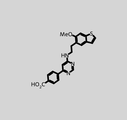 COc1cc2sccc2cc1CCNc1cc(-c2ccc(C(=O)O)cc2)ncn1